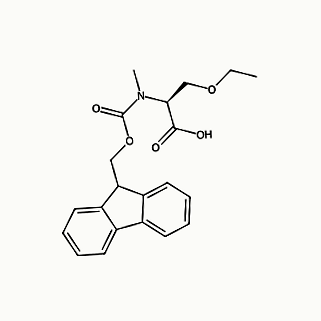 CCOC[C@@H](C(=O)O)N(C)C(=O)OCC1c2ccccc2-c2ccccc21